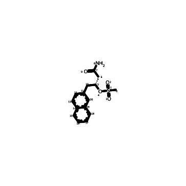 CS(=O)(=O)O[C@@H](CC(N)=O)Cc1ccc2ccccc2c1